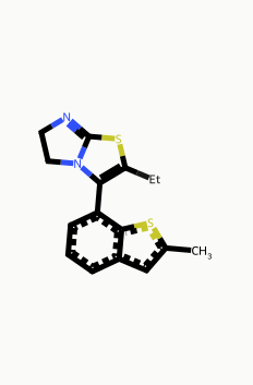 CCC1=C(c2cccc3cc(C)sc23)N2CCN=C2S1